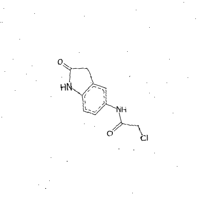 O=C(CCl)Nc1ccc2c(c1)CC(=O)N2